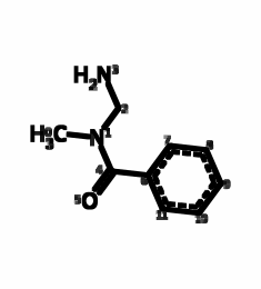 CN(CN)C(=O)c1ccccc1